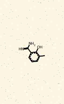 Cc1cccc(C(=N)N)c1O